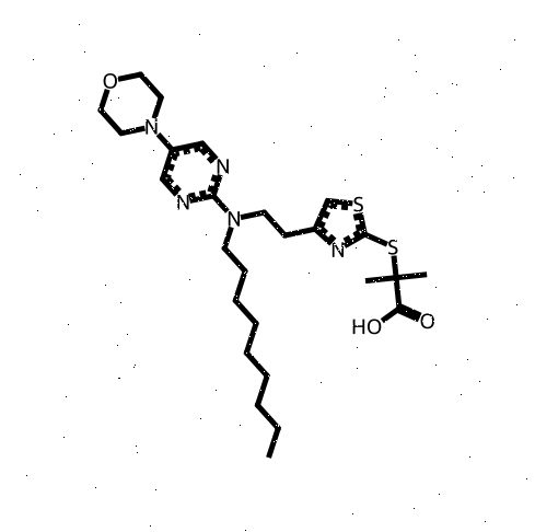 CCCCCCCCCN(CCc1csc(SC(C)(C)C(=O)O)n1)c1ncc(N2CCOCC2)cn1